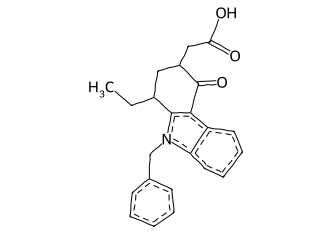 CCC1CC(CC(=O)O)C(=O)c2c1n(Cc1ccccc1)c1ccccc21